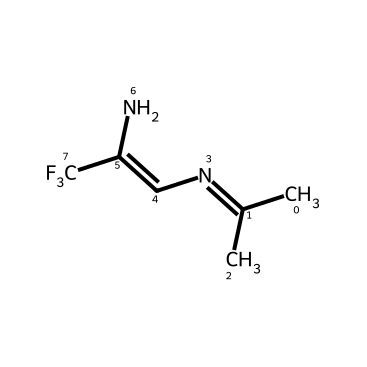 CC(C)=N/C=C(\N)C(F)(F)F